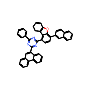 C1=Cc2oc3c(-c4ccc5ccccc5c4)ccc(-c4nc(-c5ccccc5)nc(-c5cc6ccccc6c6ccccc56)n4)c3c2CC1